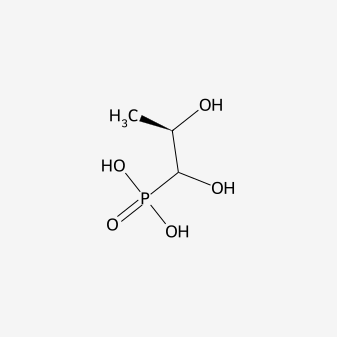 C[C@@H](O)C(O)P(=O)(O)O